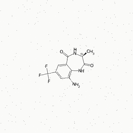 C[C@@H]1NC(=O)c2cc(C(F)(F)F)cc(N)c2NC1=O